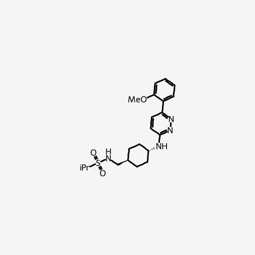 COc1ccccc1-c1ccc(N[C@H]2CC[C@H](CNS(=O)(=O)C(C)C)CC2)nn1